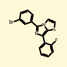 Fc1ccccc1-c1nc(-c2cccc(Br)c2)n2ccsc12